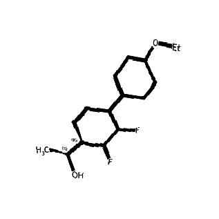 CCOC1CCC(C2CC[C@H]([C@H](C)O)C(F)C2F)CC1